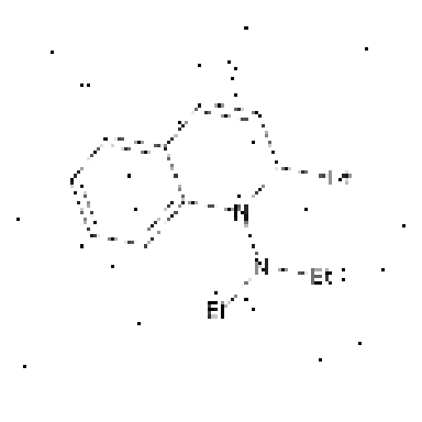 CCC1C=Cc2ccccc2N1N(CC)CC